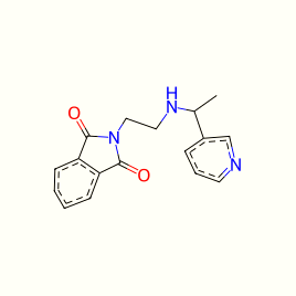 CC(NCCN1C(=O)c2ccccc2C1=O)c1cccnc1